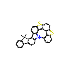 CC1(C)c2ccccc2-c2ccc3c(c21)c1ccc2sc4ccc5sc6cccc7c6c5c4c2c1n37